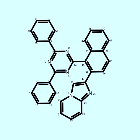 c1ccc(-c2nc(-c3ccccc3)nc(-c3c(-c4cn5ccccc5n4)ccc4ccccc34)n2)cc1